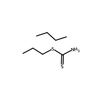 CCCC.CCCSC(N)=S